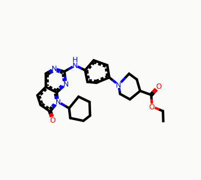 CCOC(=O)C1CCN(c2ccc(Nc3ncc4ccc(=O)n(C5CCCCC5)c4n3)cc2)CC1